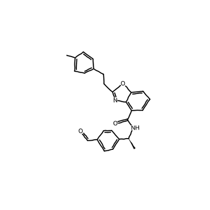 Cc1ccc(CCc2nc3c(C(=O)N[C@@H](C)c4ccc(C=O)cc4)cccc3o2)cc1